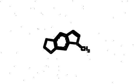 C[C]1C=Cc2cc3c(cc21)CCC3